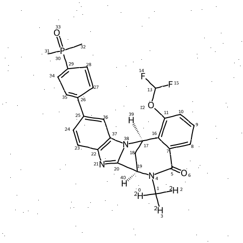 [2H]C([2H])([2H])N1C(=O)c2cccc(OC(F)F)c2[C@H]2C[C@@H]1c1nc3ccc(-c4ccc(P(C)(C)=O)cc4)cc3n12